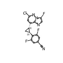 N#Cc1cc(F)c([C@H]2C[C@@H]2c2cc(Cl)nn3c(F)cnc23)c(F)c1